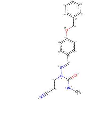 CNC(=O)N(CCC#N)N=Cc1ccc(OCc2ccccc2)cc1